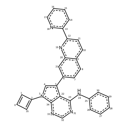 C1=CC(n2cc(-c3ccc4ccc(-c5ccccn5)nc4c3)c3c(Nc4ccccc4)ncnc32)=C1